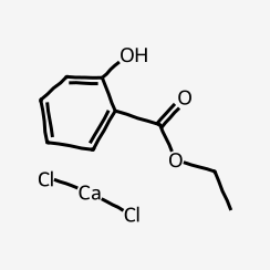 CCOC(=O)c1ccccc1O.[Cl][Ca][Cl]